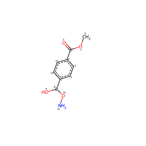 COC(=O)c1ccc(B(O)ON)cc1